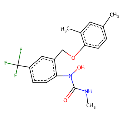 CNC(=O)N(O)c1ccc(C(F)(F)F)cc1COc1ccc(C)cc1C